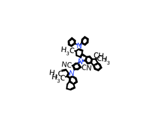 C/C=C\c1c(C)c2c3c(ccc2n1-c1cc(C#N)c(-n2c4c(c5cc6c(cc52)-c2ccccc2C6(C)C)C=C(N(c2ccccc2)c2ccccc2)C(C)C4)cc1C#N)C=CCC3